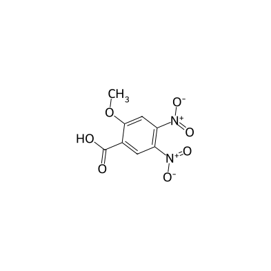 COc1cc([N+](=O)[O-])c([N+](=O)[O-])cc1C(=O)O